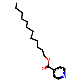 CCCCCCCCCCCCOC(=O)c1ccncc1